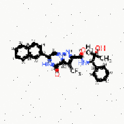 CC(C)(O)C(NC(=O)c1nn2cc(-c3ccc4ccccc4c3)[nH]c(=O)c2c1C(F)(F)F)c1ccccc1